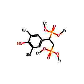 CCOP(=O)(CC(c1cc(C(C)(C)C)c(O)c(C(C)(C)C)c1)P(=O)(OCC)OCC)OCC